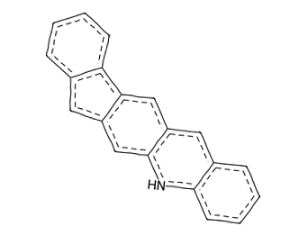 c1ccc2[nH]c3cc4cc5ccccc5c4cc3cc2c1